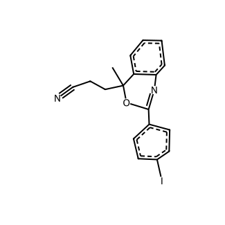 CC1(CCC#N)OC(c2ccc(I)cc2)=Nc2ccccc21